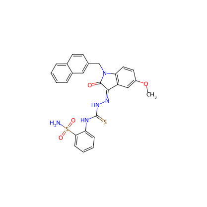 COc1ccc2c(c1)C(=NNC(=S)Nc1ccccc1S(N)(=O)=O)C(=O)N2Cc1ccc2ccccc2c1